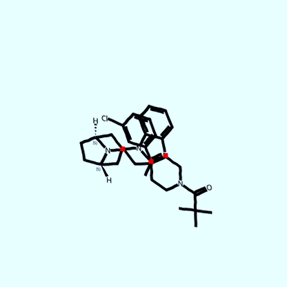 Cc1nc2ccccc2n1C1C[C@@H]2CC[C@@H](C1)N2CCC1(c2cccc(Cl)c2)CCN(C(=O)C(C)(C)C)CC1